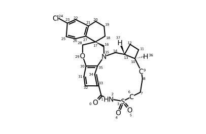 O=C1NS(=O)(=O)CCCC[C@@H]2CC[C@H]2CN2C[C@@]3(CCCc4cc(Cl)ccc43)COc3ccc1cc32